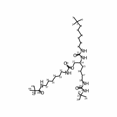 CC(C)(C)CCCCCCNC(=O)NC(CCCCNC(=O)NC(C)(C)C)COC(=O)NCCCCCCNC(=O)C(C)(C)C